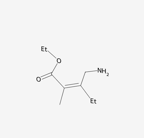 CCOC(=O)C(C)=C(CC)CN